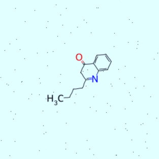 CCCCC1=Nc2ccccc2C(=O)C1